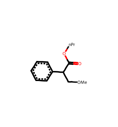 CCCOC(=O)C(COC)c1ccccc1